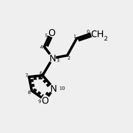 C=CCN([C]=O)c1ccon1